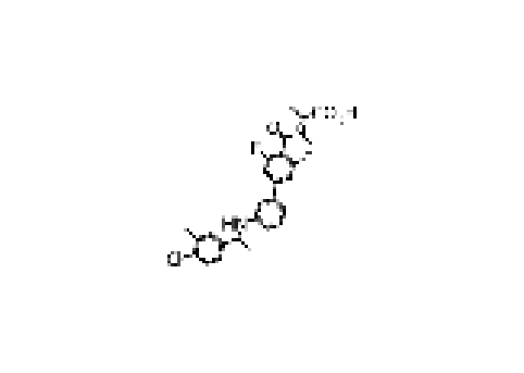 Cc1cc(C(C)Nc2cccc(-c3cc(F)c(C(=O)N(C)C(C)C(=O)O)c(F)c3)c2)ccc1Cl